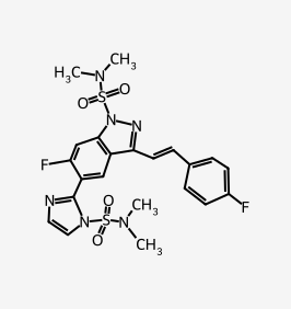 CN(C)S(=O)(=O)n1ccnc1-c1cc2c(C=Cc3ccc(F)cc3)nn(S(=O)(=O)N(C)C)c2cc1F